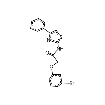 O=C(COc1cccc(Br)c1)Nc1nc(-c2ccccc2)cs1